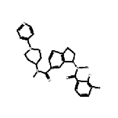 CC(C)N(C(=O)c1cccc(F)c1Cl)[C@@H]1CCc2ccc(C(=O)N(C)C3CCN(c4ccncc4)CC3)cc21